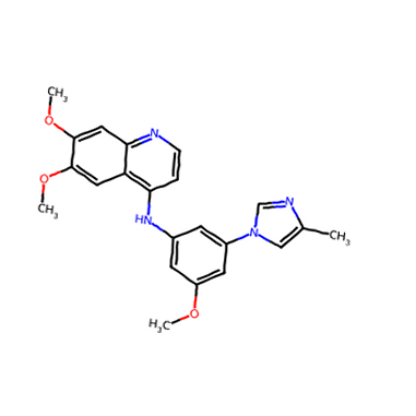 COc1cc(Nc2ccnc3cc(OC)c(OC)cc23)cc(-n2cnc(C)c2)c1